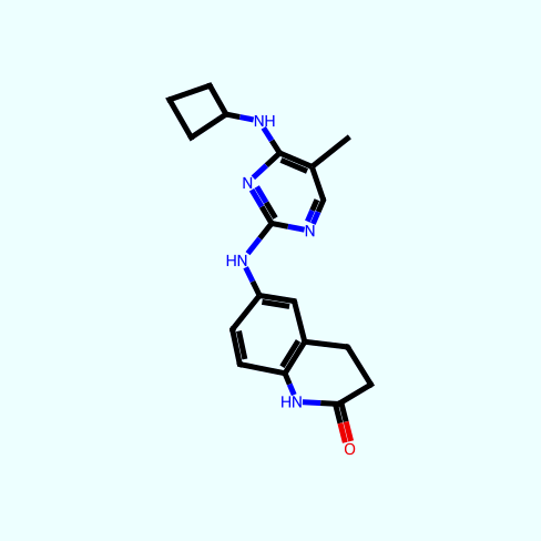 Cc1cnc(Nc2ccc3c(c2)CCC(=O)N3)nc1NC1CCC1